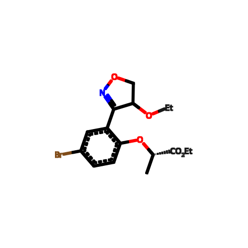 CCOC(=O)[C@H](C)Oc1ccc(Br)cc1C1=NOCC1OCC